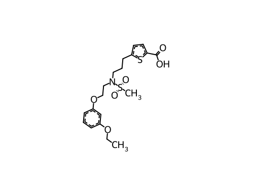 CCOc1cccc(OCCN(CCCc2ccc(C(=O)O)s2)S(C)(=O)=O)c1